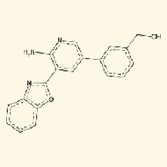 Nc1ncc(-c2cccc(CO)c2)cc1-c1nc2ccccc2o1